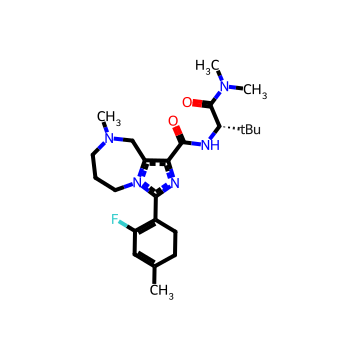 CC1=CC(F)=C(c2nc(C(=O)N[C@H](C(=O)N(C)C)C(C)(C)C)c3n2CCCN(C)C3)CC1